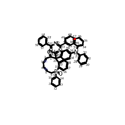 C=C1/C=C\C=C/CP(=O)(c2ccccc2)c2ccccc2C1(c1ccc(N(c2ccccc2)c2ccccc2)cc1)c1nc(-c2ccccc2)nc(-c2ccccc2)n1